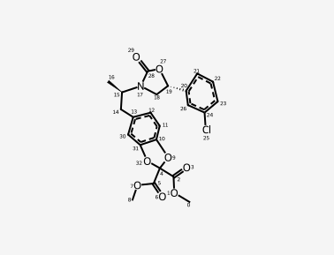 COC(=O)C1(C(=O)OC)Oc2ccc(C[C@@H](C)N3C[C@@H](c4cccc(Cl)c4)OC3=O)cc2O1